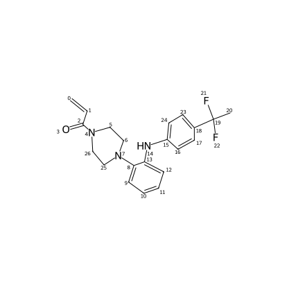 C=CC(=O)N1CCN(c2ccccc2Nc2ccc(C(C)(F)F)cc2)CC1